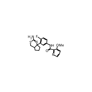 COc1cccnc1C(=O)Nc1ccc(F)c(C23CCCC2CSC(N)=N3)c1